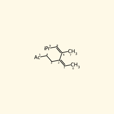 C/C=C(CCC(C)=O)\C(C)=C/C(C)C